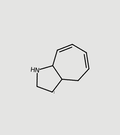 [C]1CNC2C=CC=CCC12